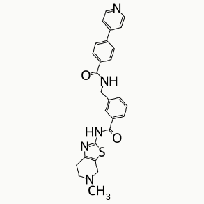 CN1CCc2nc(NC(=O)c3cccc(CNC(=O)c4ccc(-c5ccncc5)cc4)c3)sc2C1